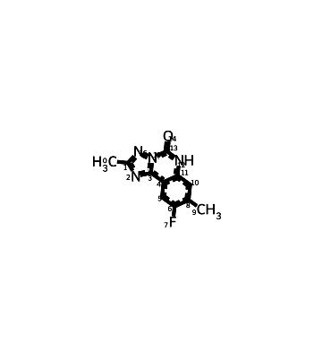 Cc1nc2c3cc(F)c(C)cc3[nH]c(=O)n2n1